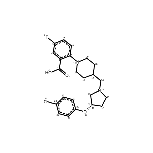 O=C(O)c1cc(F)ccc1N1CCC(CN2CC[C@H](Oc3ccc(Cl)cc3)C2)CC1